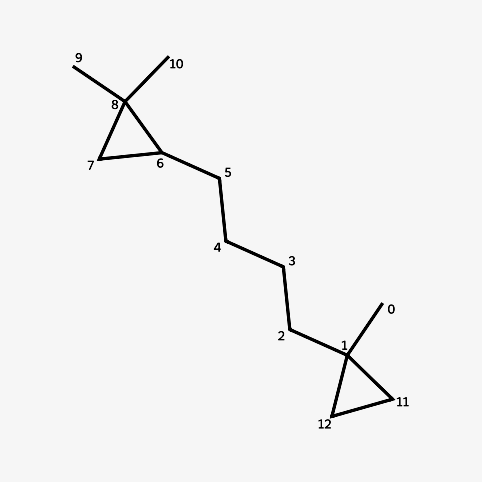 CC1(CCCCC2CC2(C)C)CC1